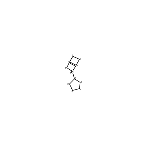 C1CCC(N2CC3=C2CC3)C1